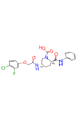 O=C(COc1ccc(Cl)c(F)c1)N[C@H]1CC[C@H](C(=O)Nc2ccccc2)N(C(=O)O)C1